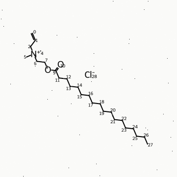 C=CC[N+](C)(C)CCOC(=O)CCCCCCCCCCCCCCCCC.[Cl-]